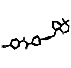 CC1(C)CCSc2c(CC#Cc3ccc(C(=O)Nc4ccc(O)cc4)cc3)cccc21